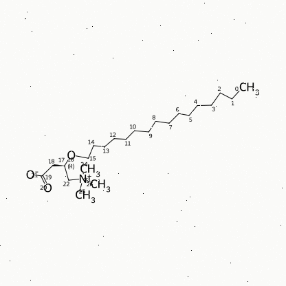 CCCCCCCCCCCCCCCCO[C@H](CC(=O)[O-])C[N+](C)(C)C